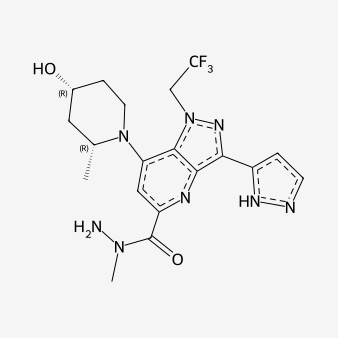 C[C@@H]1C[C@H](O)CCN1c1cc(C(=O)N(C)N)nc2c(-c3ccn[nH]3)nn(CC(F)(F)F)c12